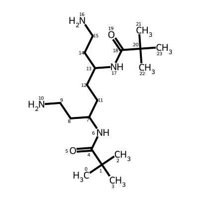 CC(C)(C)C(=O)NC(CCN)CCC(CCN)NC(=O)C(C)(C)C